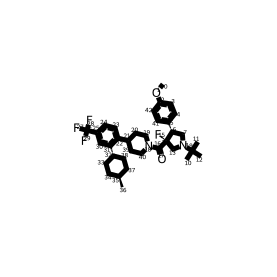 COc1ccc([C@@H]2CN(C(C)(C)C)C[C@@]2(F)C(=O)N2CCC(c3ccc(C(F)(F)F)cc3[C@H]3CC[C@H](C)CC3)CC2)cc1